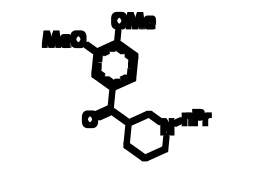 CCCN1CCCC(C(=O)c2ccc(OC)c(OC)c2)C1